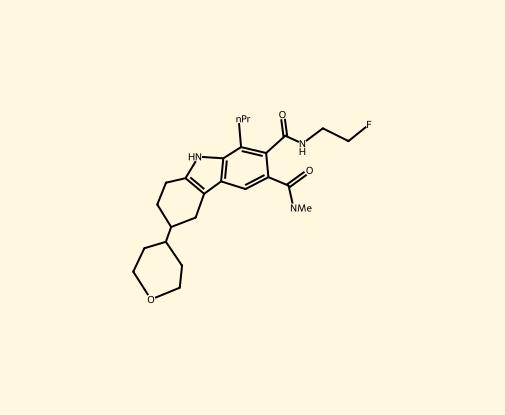 CCCc1c(C(=O)NCCF)c(C(=O)NC)cc2c3c([nH]c12)CCC(C1CCOCC1)C3